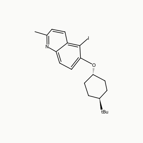 Cc1ccc2c(I)c(O[C@H]3CC[C@H](C(C)(C)C)CC3)ccc2n1